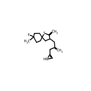 C=C(CC1=CN1)CC1CC2(CCC(C)(F)CC2)SC1=C